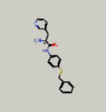 N[C@@H](Cc1cccnc1)C(=O)Nc1ccc(SCc2ccccc2)cc1